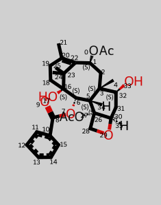 CC(=O)O[C@H]1C[C@@]2(C)[C@@H]([C@H](OC(=O)c3ccccc3)[C@]3(O)CCC(C)=C1C3(C)C)[C@]1(OC(C)=O)CO[C@@H]1C[C@@H]2O